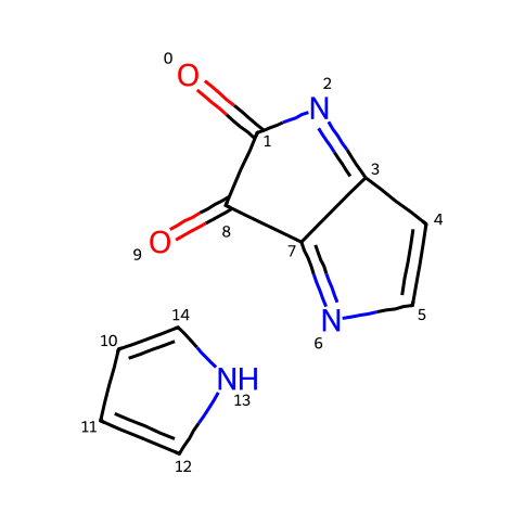 O=c1nc2ccnc-2c1=O.c1cc[nH]c1